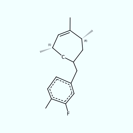 CC1=C[C@@H](C)CC(Cc2ccc(C)c(F)c2)C[C@H]1C